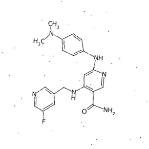 CN(C)c1ccc(Nc2cc(NCc3cncc(F)c3)c(C(N)=O)cn2)cc1